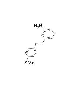 CSc1ccc(/C=C/c2cccc(N)c2)cc1